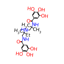 CCC(C)(CNC(=O)c1cc(O)c(O)c(O)c1)NCC(C)(C)NC(=O)c1cc(O)c(O)c(O)c1